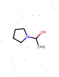 O=CC(O)N1CCCC1